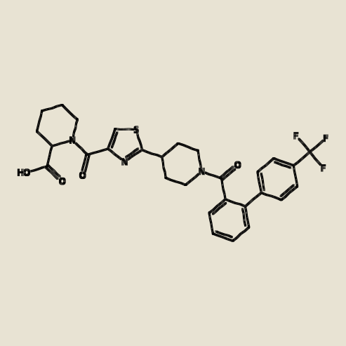 O=C(O)C1CCCCN1C(=O)c1csc(C2CCN(C(=O)c3ccccc3-c3ccc(C(F)(F)F)cc3)CC2)n1